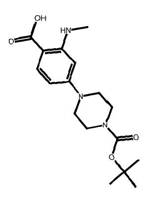 CNc1cc(N2CCN(C(=O)OC(C)(C)C)CC2)ccc1C(=O)O